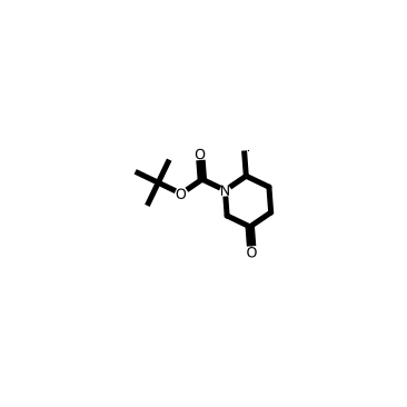 [CH2]C1CCC(=O)CN1C(=O)OC(C)(C)C